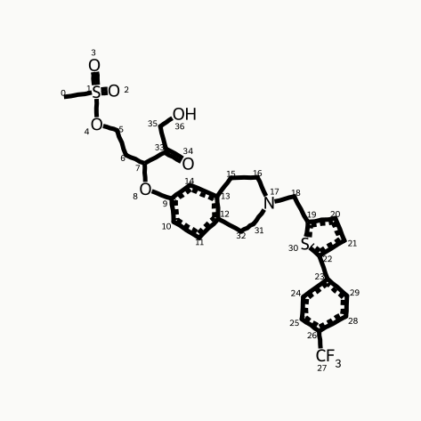 CS(=O)(=O)OCCC(Oc1ccc2c(c1)CCN(Cc1ccc(-c3ccc(C(F)(F)F)cc3)s1)CC2)C(=O)CO